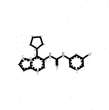 O=C(Nc1cncc(Cl)c1)Nc1cnc2ccnn2c1C1CCCC1